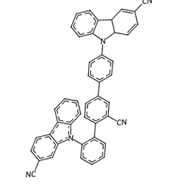 N#CC1=CC2c3ccccc3N(c3ccc(-c4ccc(-c5ccccc5-n5c6ccccc6c6ccc(C#N)cc65)c(C#N)c4)cc3)C2C=C1